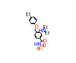 CCNCC.CCc1ccc(OCc2ccc(C(=O)NS(C)(=O)=O)cc2)cc1